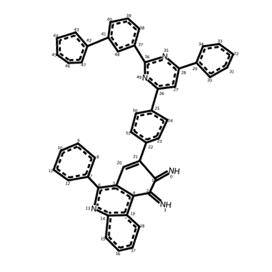 N=C1C(=N)c2c(c(-c3ccccc3)nc3ccccc23)C=C1c1ccc(-c2cc(-c3ccccc3)nc(-c3cccc(-c4ccccc4)c3)n2)cc1